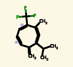 C=C1/C=C\C=C(\C(F)(F)F)C(C)=C=C1C(C)C